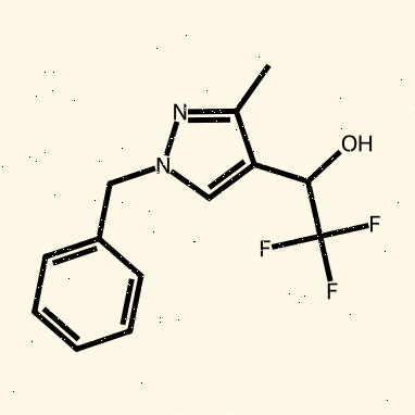 Cc1nn(Cc2ccccc2)cc1C(O)C(F)(F)F